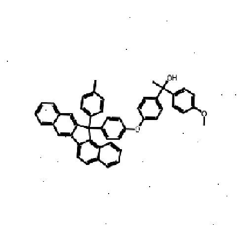 COc1ccc(C(C)(O)c2ccc(Oc3ccc(C4(c5ccc(C)cc5)c5cc6ccccc6cc5-c5ccc6ccccc6c54)cc3)cc2)cc1